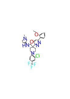 CCOc1ccccc1-c1ccc(C2(C(=O)N[C@H]3CCN(C)C3)CCN(c3ccc(C(F)(F)F)cc3Cl)CC2)nn1